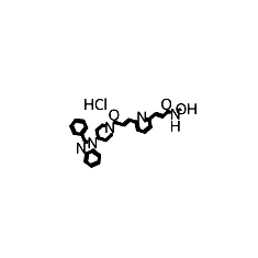 Cl.O=C(C=Cc1cccc(C=CC(=O)N2CCC(n3c(-c4ccccc4)nc4ccccc43)CC2)n1)NO